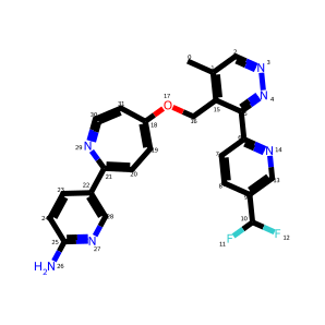 Cc1cnnc(-c2ccc(C(F)F)cn2)c1COC1=CC=C(c2ccc(N)nc2)N=C=C1